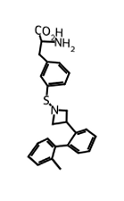 Cc1ccccc1-c1ccccc1C1CN(Sc2cccc(CC(N)C(=O)O)c2)C1